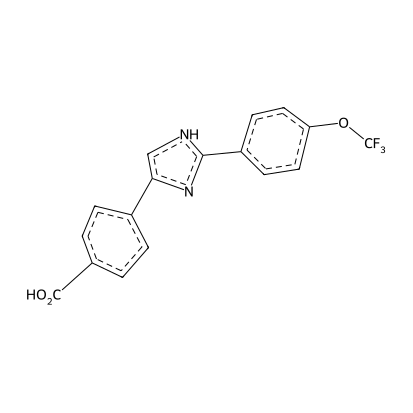 O=C(O)c1ccc(-c2c[nH]c(-c3ccc(OC(F)(F)F)cc3)n2)cc1